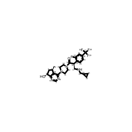 C[C@@H]1C[C@@H](O)c2ncnc(N3CCN(C(=O)[C@H](CNCC4CC4)c4ccc(C(F)(F)F)cc4F)CC3)c21